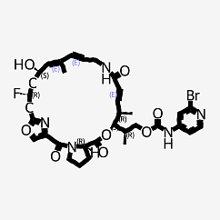 CC1=C\[C@@H](O)C[C@@H](F)Cc2nc(co2)C(=O)N2CCC[C@@H]2C(=O)O[C@H]([C@H](C)COC(=O)Nc2ccnc(Br)c2)[C@H](C)/C=C/C(=O)NC\C=C\1